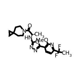 COc1nc(C(C)(F)F)ccc1-c1nnc(N[C@@H](C)C(=O)N2CCC3(CC2)CC3)o1